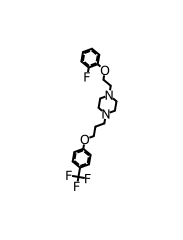 Fc1ccccc1OCCN1CCN(CCCOc2ccc(C(F)(F)F)cc2)CC1